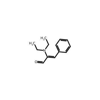 CCN(CC)C(C=O)=Cc1ccccc1